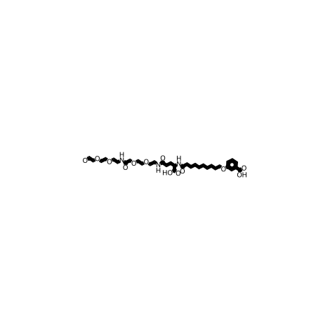 O=[C]COCCOCCNC(=O)COCCOCCNC(=O)CCC(NC(=O)CCCCCCCCCOc1cccc(C(=O)O)c1)C(=O)O